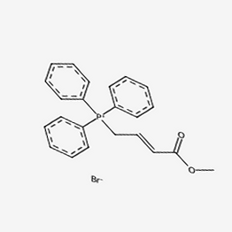 COC(=O)C=CC[P+](c1ccccc1)(c1ccccc1)c1ccccc1.[Br-]